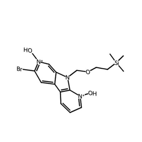 C[Si](C)(C)CCOCn1c2c[n+](O)c(Br)cc2c2ccc[n+](O)c21